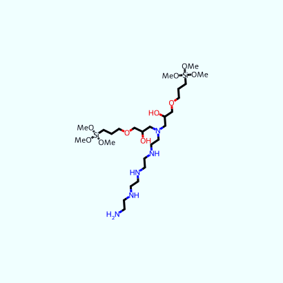 CO[Si](CCCOCC(O)CN(CCNCCNCCNCCN)CC(O)COCCC[Si](OC)(OC)OC)(OC)OC